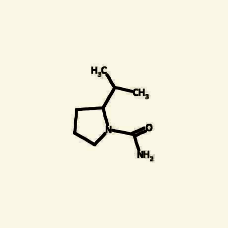 CC(C)C1CCCN1C(N)=O